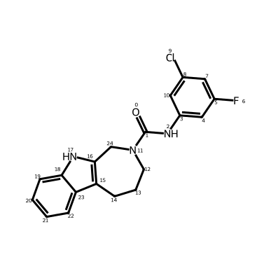 O=C(Nc1cc(F)cc(Cl)c1)N1CCCc2c([nH]c3ccccc23)C1